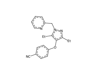 CCc1nn(Cc2ccccn2)c(CC)c1Oc1ccc(C#N)cc1